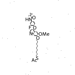 COc1cc2c(Oc3ccc(NC(=O)C4(C)CC4)cc3F)ccnc2cc1OCCCCCCCCCSC(C)=O